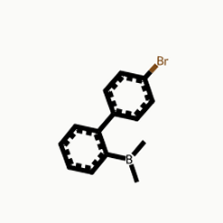 CB(C)c1ccccc1-c1ccc(Br)cc1